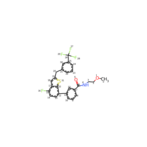 COCCNC(=O)c1cccc(-c2ccc(F)c3cc(Cc4cccc(C(F)(F)F)c4)sc23)c1